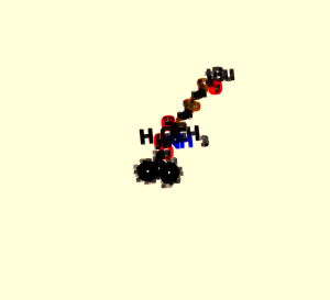 CC(C)(C)C(=O)SCCSSCCSC(=O)C(C)(C)NC(=O)OCC1c2ccccc2-c2ccccc21